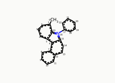 Cc1cccc2c3c4ccccc4ccc3n(-c3ccccc3)c12